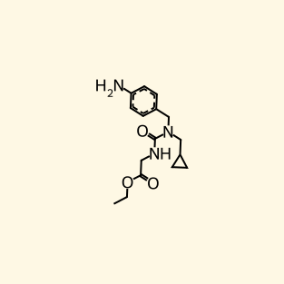 CCOC(=O)CNC(=O)N(Cc1ccc(N)cc1)CC1CC1